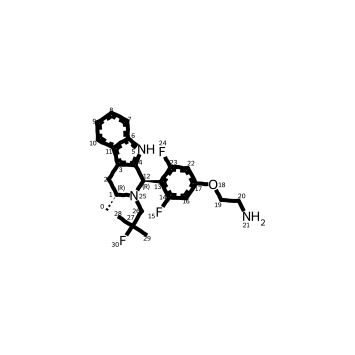 C[C@@H]1Cc2c([nH]c3ccccc23)[C@@H](c2c(F)cc(OCCN)cc2F)N1CC(C)(C)F